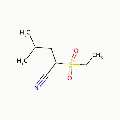 CCS(=O)(=O)C(C#N)CC(C)C